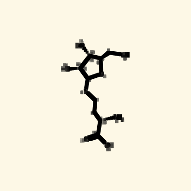 N[C@@H](CCSC1O[C@H](CO)[C@@H](O)[C@H]1O)C(=O)O